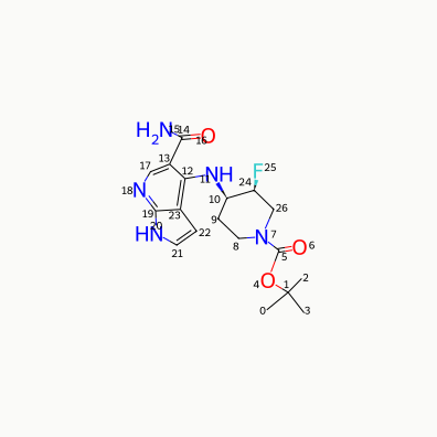 CC(C)(C)OC(=O)N1CC[C@@H](Nc2c(C(N)=O)cnc3[nH]ccc23)[C@@H](F)C1